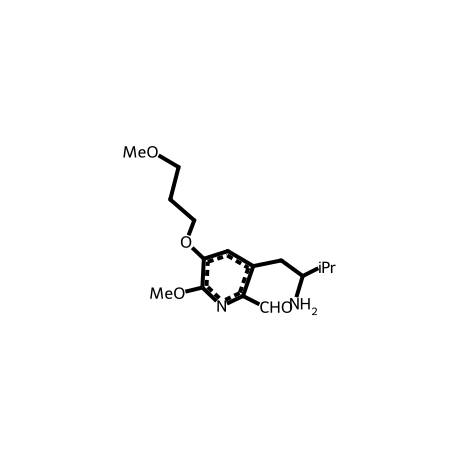 COCCCOc1cc(CC(N)C(C)C)c(C=O)nc1OC